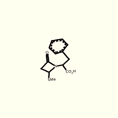 CSC1CC(=O)N1C(Cc1ccccc1)C(=O)O